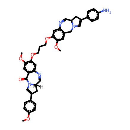 COc1ccc(C2=CN3C(=O)c4cc(OC)c(OCCCOc5cc6c(cc5OC)CN5C=C(c7ccc(N)cc7)CC5C=N6)cc4N=C[C@@H]3C2)cc1